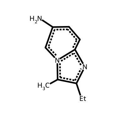 CCc1nc2ccc(N)cn2c1C